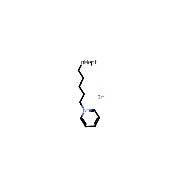 CCCCCCCCCCCC[n+]1ccccc1.[Br-]